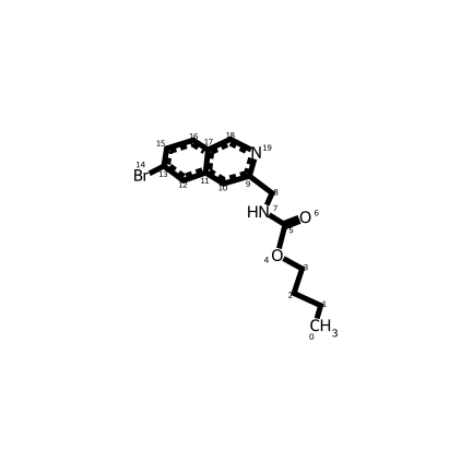 CCCCOC(=O)NCc1cc2cc(Br)ccc2cn1